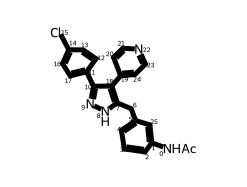 CC(=O)Nc1cccc(Cc2[nH]nc(-c3ccc(Cl)cc3)c2-c2ccncc2)c1